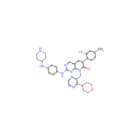 Cc1ccc(-c2cc3cnc(Nc4ccc(NC5CCNCC5)cc4)nc3n(Cc3nccnc3C3CCOCC3)c2=O)c(Cl)c1